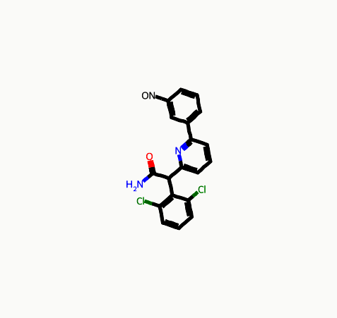 NC(=O)C(c1cccc(-c2cccc(N=O)c2)n1)c1c(Cl)cccc1Cl